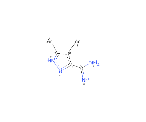 CC(=O)c1[nH]nc(C(=N)N)c1C(C)=O